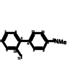 CNc1ccc(-c2ccccc2I)cc1